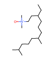 CCC(CCCC(C)CCCC(C)C)CC[N+](C)(C)[O-]